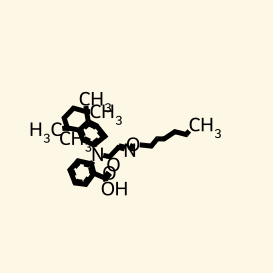 CCCCCCON=CC(=O)N(c1ccc2c(c1)C(C)(C)CCC2(C)C)c1ccccc1C(=O)O